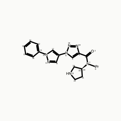 CC(C)N(C(=O)c1cn(-c2cnn(-c3ccccc3)c2)nn1)[C@H]1CCNC1